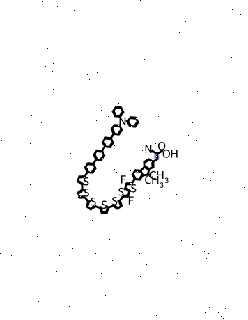 CC1(C)c2cc(/C=C(\C#N)C(=O)O)ccc2-c2ccc(-c3sc4c(F)c(-c5ccc(-c6ccc(-c7ccc(-c8ccc(-c9ccc(-c%10ccc(-c%11ccc(-c%12ccc(-c%13ccc(N(c%14ccccc%14)c%14ccccc%14)cc%13)cc%12)cc%11)cc%10)s9)s8)s7)s6)s5)sc4c3F)cc21